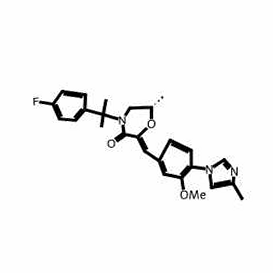 COc1cc(/C=C2\O[C@@H](C)CN(C(C)(C)c3ccc(F)cc3)C2=O)ccc1-n1cnc(C)c1